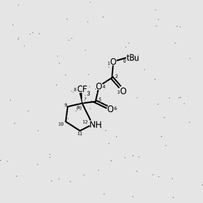 CC(C)(C)OC(=O)OC(=O)[C@@]1(C(F)(F)F)CCCN1